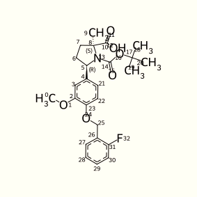 COc1cc([C@H]2CC[C@@](C)(C(=O)O)N2C(=O)OC(C)(C)C)ccc1OCc1ccccc1F